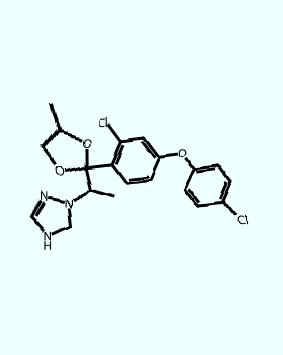 CC1COC(c2ccc(Oc3ccc(Cl)cc3)cc2Cl)(C(C)N2CNC=N2)O1